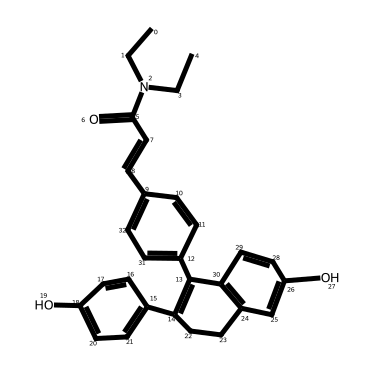 CCN(CC)C(=O)/C=C/c1ccc(C2=C(c3ccc(O)cc3)CCc3cc(O)ccc32)cc1